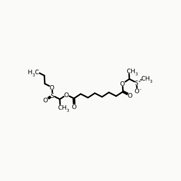 CCCOS(=O)C(C)OC(=O)CCCCCCC(=O)OC(C)[S+](C)[O-]